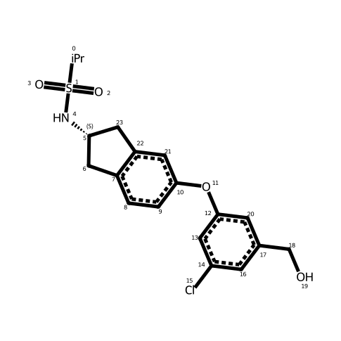 CC(C)S(=O)(=O)N[C@H]1Cc2ccc(Oc3cc(Cl)cc(CO)c3)cc2C1